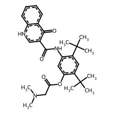 CN(C)CC(=O)Oc1cc(NC(=O)c2c[nH]c3ccccc3c2=O)c(C(C)(C)C)cc1C(C)(C)C